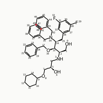 OC[C@@H](NC[C@@H](O)COC1CCCCC1)[C@@H](OCc1ccccc1)[C@H](Cc1cc(F)cc(F)c1)N(Cc1ccccc1)Cc1ccccc1